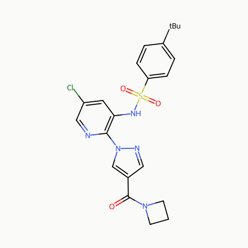 CC(C)(C)c1ccc(S(=O)(=O)Nc2cc(Cl)cnc2-n2cc(C(=O)N3CCC3)cn2)cc1